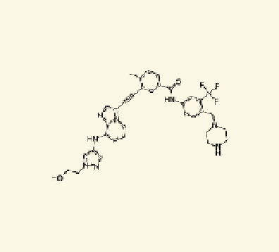 Cc1ccc(C(=O)Nc2ccc(CN3CCNCC3)c(C(F)(F)F)c2)cc1C#Cc1cnc2c(Nc3cnn(CCO)c3)cccn12